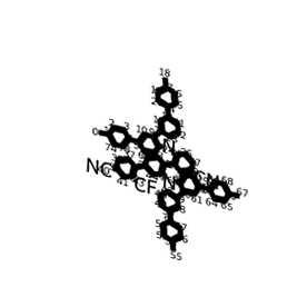 Cc1ccc(-c2ccc3c(c2)c2cc(-c4ccc(C)cc4)ccc2n3-c2ccc(C#N)cc2-c2ccc(-c3ccc(C#N)cc3C(F)(F)F)cc2-n2c3ccc(-c4ccc(C)cc4)cc3c3cc(-c4ccc(C)cc4)ccc32)cc1